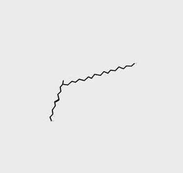 [CH2]CCCCC=CCCCC(C)CCCCCCCCCCCCCCCCC[CH2]